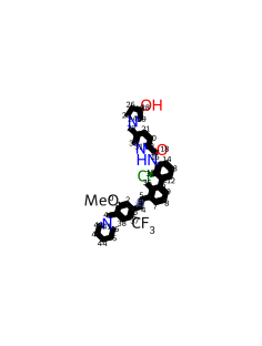 COc1cc(/C=C/c2cccc(-c3cccc(NC(=O)c4ccc(CN5CC[C@@H](O)C5)cn4)c3Cl)c2C)c(C(F)(F)F)cc1CN1CCCCC1